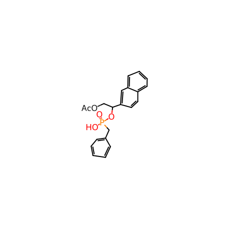 CC(=O)OCC(OP(=O)(O)Cc1ccccc1)c1ccc2ccccc2c1